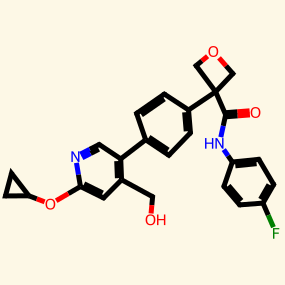 O=C(Nc1ccc(F)cc1)C1(c2ccc(-c3cnc(OC4CC4)cc3CO)cc2)COC1